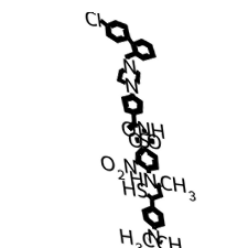 CC(CC(S)c1ccc(N(C)C)cc1)Nc1ccc(S(=O)(=O)NC(=O)c2ccc(N3CCN(Cc4ccccc4-c4ccc(Cl)cc4)CC3)cc2)cc1[N+](=O)[O-]